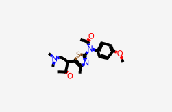 COc1ccc(N(C(C)=O)c2nc(C)c(C(CN(C)C)C(C)=O)s2)cc1